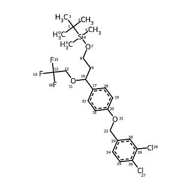 CC(C)(C)[Si](C)(C)OCCC(OCC(F)(F)F)c1ccc(OCc2ccc(Cl)c(Cl)c2)cc1